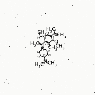 C=C(C1=C(C)C(OC)C(C(C)C)=CN1CC)N1CCC(N(C)C)CC1